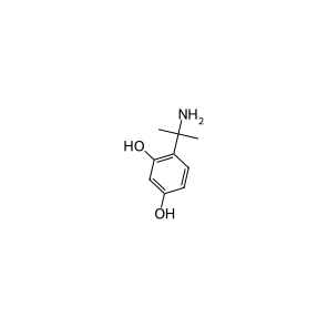 CC(C)(N)c1ccc(O)cc1O